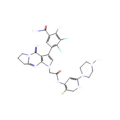 CN1CCN(C2=CC(NC(=O)Cn3cc(-c4cc(C(N)=O)c(O)c(F)c4F)c4c(=N)n5c(nc43)CCC5)=C(Cl)CN2)CC1